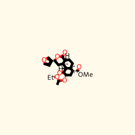 CCOC(C)O[C@H]1C[C@@H](C(=O)OC)[C@]2(C)CC[C@H]3C(=O)O[C@@H](c4ccoc4)C[C@]3(C)[C@H]2C1=O